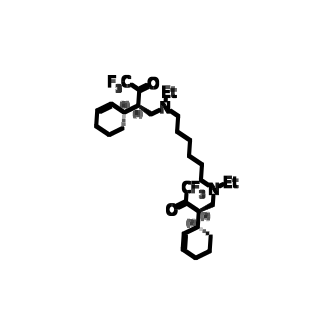 CCN(CCCCCCN(CC)C[C@H](C(=O)C(F)(F)F)[C@H]1C=CCCC1)C[C@H](C(=O)C(F)(F)F)[C@H]1C=CCCC1